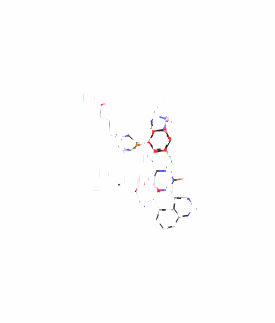 Cn1cc2c(-c3cnn(CCCC(=O)O)c3)c(Nc3nc(=O)n(-c4cncc5cccc(CNC(=O)OC(C)(C)C)c45)c(=O)n3Cc3cc(F)c(F)c(F)c3)c(Cl)cc2n1